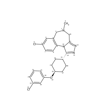 CN1Cc2cc(Cl)ccc2-n2c(nnc2[C@H]2CC[C@H](Oc3cccc(Cl)c3)CC2)C1